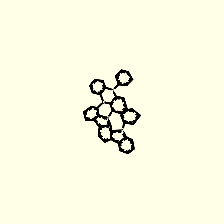 c1ccc(N2c3ccccc3B3c4c2cccc4-n2c4c3cccc4c3ccc4c5ccccc5n(-c5ccccc5)c4c32)cc1